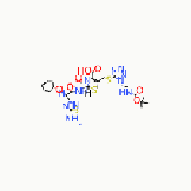 CC(C)(C)OC(=O)NCCn1nnnc1SCC1=C(C(=O)O)N2C(=O)C(NC(=O)/C(=N\Oc3ccccc3)c3nsc(N)n3)[C@H]2SC1